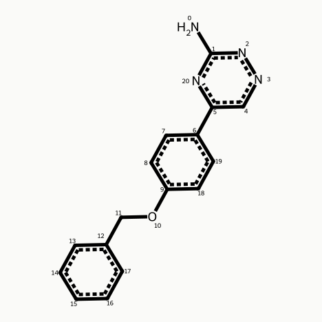 Nc1nncc(-c2ccc(OCc3ccccc3)cc2)n1